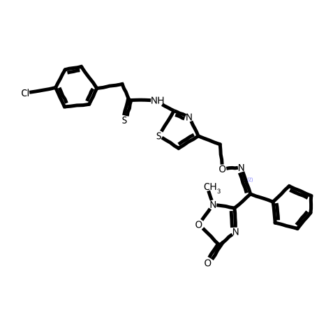 Cn1oc(=O)nc1/C(=N\OCc1csc(NC(=S)Cc2ccc(Cl)cc2)n1)c1ccccc1